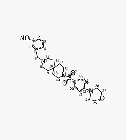 N#Cc1cccc(CN2CCC3(CC2)CCN(S(=O)(=O)c2ccc(N4CCOCC4)nc2)CC3)c1